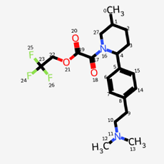 CC1CCC(c2ccc(CCN(C)C)cc2)N(C(=O)C(=O)OCC(F)(F)F)C1